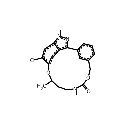 CC1CCNC(=O)OCc2cccc(c2)-c2n[nH]c3cc(Cl)c(cc23)O1